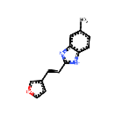 O=[N+]([O-])c1ccc2[nH]c(C=Cc3ccoc3)nc2c1